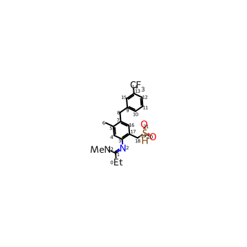 CCC(=Nc1cc(C)c(Cc2cccc(C(F)(F)F)c2)cc1C[SH](=O)=O)NC